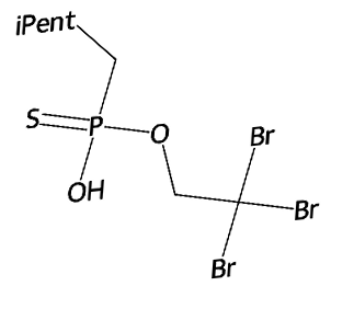 CCCC(C)CP(O)(=S)OCC(Br)(Br)Br